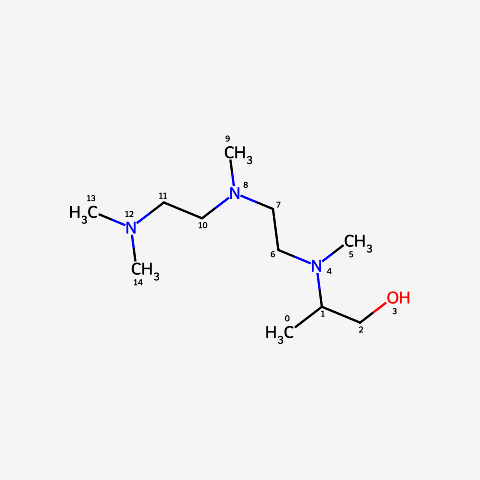 CC(CO)N(C)CCN(C)CCN(C)C